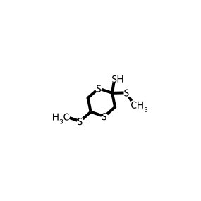 CSC1CSC(S)(SC)CS1